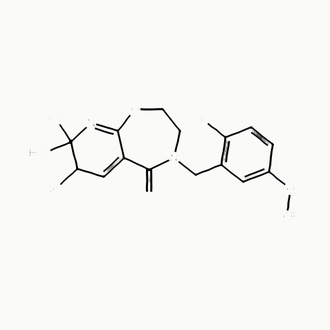 [2H]C1(C)N=C2OCCN(Cc3cc(OC(F)(F)F)ccc3F)C(=O)C2=CC1Br